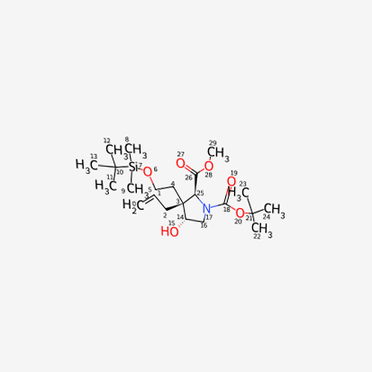 C=CC[C@]1(CCO[Si](C)(C)C(C)(C)C)[C@@H](O)CN(C(=O)OC(C)(C)C)[C@@H]1C(=O)OC